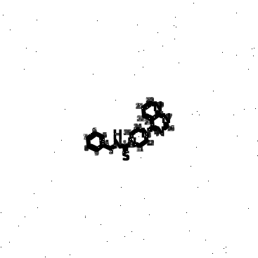 S=C(NCc1ccccc1)N1CCN(c2ncnc3ncccc23)CC1